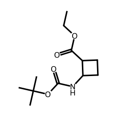 CCOC(=O)C1CCC1NC(=O)OC(C)(C)C